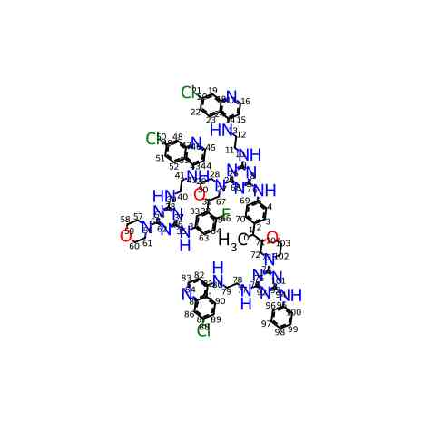 CC(c1ccc(Nc2nc(NCCNc3ccnc4cc(Cl)ccc34)nc(N3CCOC(c4cc(Nc5nc(NCCNc6ccnc7cc(Cl)ccc67)nc(N6CCOCC6)n5)ccc4F)C3)n2)cc1)C1CN(c2nc(NCCNc3ccnc4cc(Cl)ccc34)nc(Nc3ccccc3)n2)CCO1